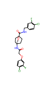 O=C(COc1ccc(Cl)c(F)c1)NC12CCC(C(=O)NCc3ccc(Cl)c(F)c3)(CC1)OC2